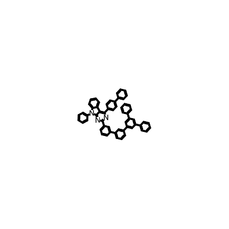 c1ccc(-c2ccc(-c3nc(-c4cccc(-c5cccc(-c6cc(-c7ccccc7)cc(-c7ccccc7)c6)c5)c4)nc4c3c3ccccc3n4-c3ccccc3)cc2)cc1